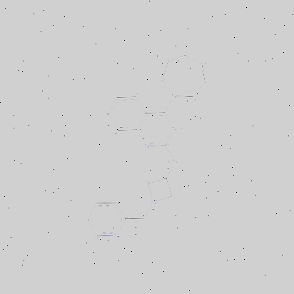 c1ccc(CN2CC(Nc3nc(N4CCCCCC4)c4ccccc4n3)C2)nc1